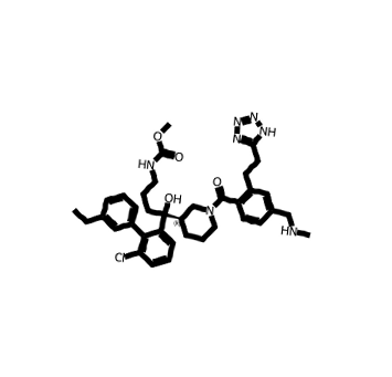 CCc1cccc(-c2c(Cl)cccc2C(O)(CCCNC(=O)OC)[C@@H]2CCCN(C(=O)c3ccc(CNC)cc3CCc3nnn[nH]3)C2)c1